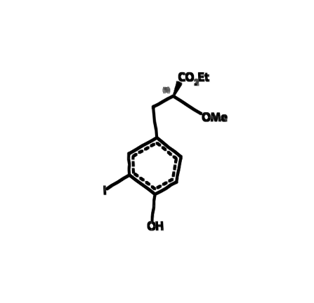 CCOC(=O)[C@H](Cc1ccc(O)c(I)c1)OC